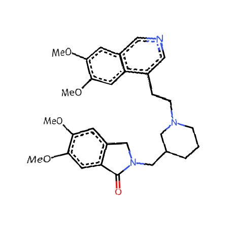 COc1cc2c(cc1OC)C(=O)N(CC1CCCN(CCc3cncc4cc(OC)c(OC)cc34)C1)C2